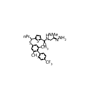 CCCC(Sc1cc(C)c(-c2ccc(C(F)(F)F)cc2)c(C)c1)c1ccc(C(=O)NC/C(=N/N)NC)s1